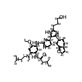 COc1cc(N(C)CCN(C)C)c(NC(=O)CC(C)C)cc1Nc1nccc(-c2[nH]c(CCCO)nc2-c2ccc3ccoc3c2)n1